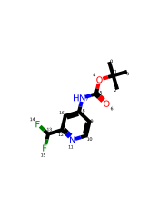 CC(C)(C)OC(=O)Nc1ccnc(C(F)F)c1